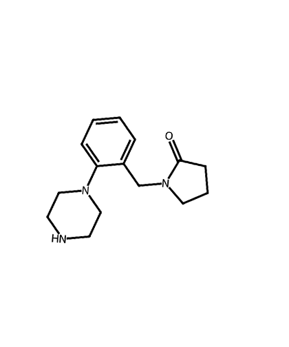 O=C1CCCN1Cc1ccccc1N1CCNCC1